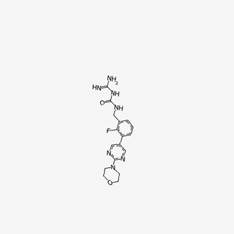 N=C(N)NC(=O)NCc1cccc(-c2cnc(N3CCOCC3)nc2)c1F